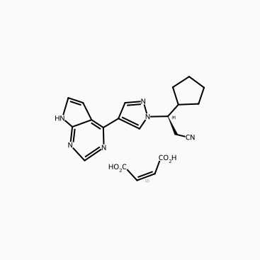 N#CC[C@H](C1CCCC1)n1cc(-c2ncnc3[nH]ccc23)cn1.O=C(O)/C=C\C(=O)O